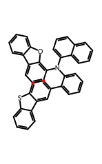 c1ccc(N(c2cccc3ccccc23)c2cccc3c2oc2ccccc23)c(-c2ccc3sc4ccccc4c3c2)c1